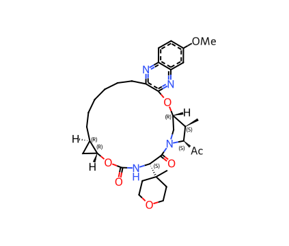 COc1ccc2nc3c(nc2c1)O[C@H]1CN(C(=O)[C@H](C2(C)CCOCC2)NC(=O)O[C@@H]2C[C@H]2CCCCCC3)[C@H](C(C)=O)[C@@H]1C